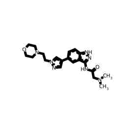 CN(C)CC(=O)Nc1n[nH]c2ccc(-c3cnn(CCN4CCOCC4)c3)cc12